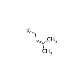 CC(C)=C[CH2][K]